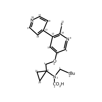 CC(C)(C)CN(C(=O)O)C1(COc2cnc(F)c(-c3ccncc3)c2)CC1